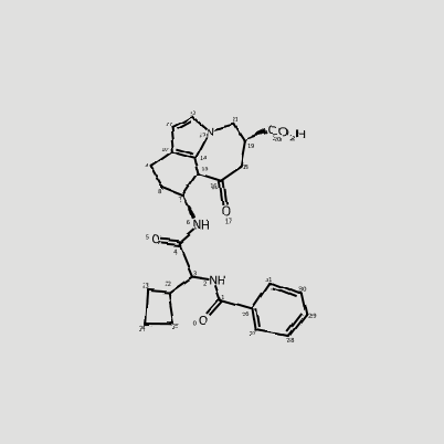 O=C(NC(C(=O)N[C@H]1CCc2ccn3c2C1C(=O)C[C@H](C(=O)O)C3)C1CCC1)c1ccccc1